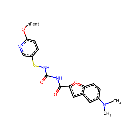 CCCCCOc1ccc(SNC(=O)NC(=O)c2cc3cc(N(C)C)ccc3o2)cn1